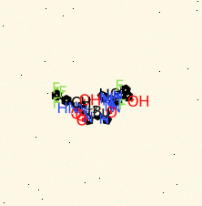 C#Cc1c(F)ccc2cc(O)cc(-c3ncc4c(N5CC6CCC(C5)N6)nc(OC[C@@H]5CCCN5CCC[C@H]5CCC(=O)N5[C@H](C(=O)N5C[C@H](O)C[C@H]5C(=O)N[C@@H](C)c5ccc(-c6c(F)ccc(F)c6F)cc5)C(C)(C)C)nc4c3F)c12